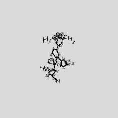 CN1CC(c2ccc(NC(=O)C3=CC(C#N)CN3)c(C3=CCCCC3)c2)CN(C)S1(=O)=O